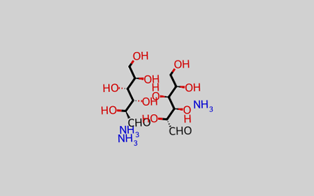 N.N.N.O=C[C@@H](O)[C@@H](O)[C@H](O)[C@H](O)CO.O=C[C@H](O)[C@H](O)[C@@H](O)[C@H](O)CO